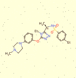 CCc1ccc(S(=O)(=O)N[C@H](C)c2nnc(Oc3cccc(N4CCN(C)CC4)c3)n2CC)cc1